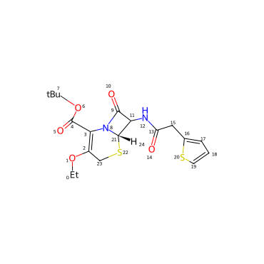 CCOC1=C(C(=O)OC(C)(C)C)N2C(=O)C(NC(=O)Cc3cccs3)[C@@H]2SC1